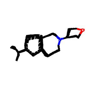 CC(C)c1ccc2c(c1)CCN(C1COC1)C2